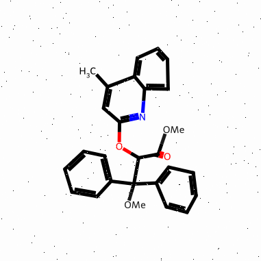 COC(=O)C(Oc1cc(C)c2ccccc2n1)C(OC)(c1ccccc1)c1ccccc1